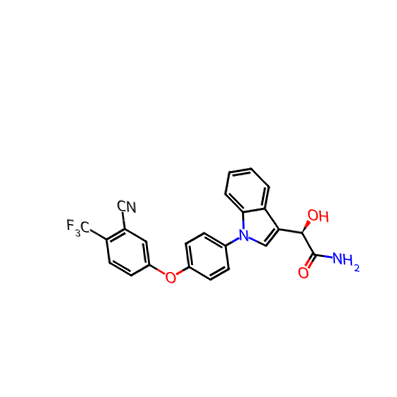 N#Cc1cc(Oc2ccc(-n3cc([C@@H](O)C(N)=O)c4ccccc43)cc2)ccc1C(F)(F)F